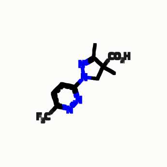 CC1=NN(c2ccc(C(F)(F)F)nn2)CC1(C)C(=O)O